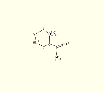 Cl.NC(=O)C1CNCCO1